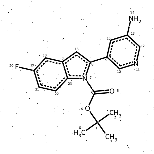 CC(C)(C)OC(=O)n1c(-c2cncc(N)c2)cc2cc(F)ccc21